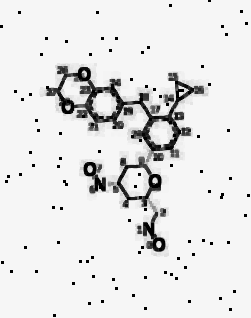 O=NC[C@@H]1C[C@H](N=O)C[C@H](c2ccc(C3CC3)c(Cc3ccc4c(c3)OCCO4)c2)O1